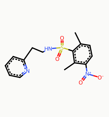 Cc1ccc([N+](=O)[O-])c(C)c1S(=O)(=O)NCCc1ccccn1